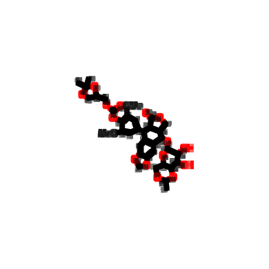 COc1cc([C@@H]2c3cc4c(cc3C(OC3OC5COC(C)OC5C(O)C3O)C3COC(=O)C32)OCO4)cc(OC)c1OC(=O)OCC1COC(C)(C)O1